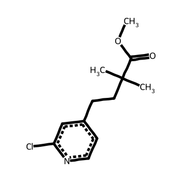 COC(=O)C(C)(C)CCc1ccnc(Cl)c1